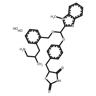 CC(CN)Cc1ccccc1COC(Oc1ccc(CC2SC(=O)NC2=O)cc1)c1nc2ccccc2n1C.Cl.Cl